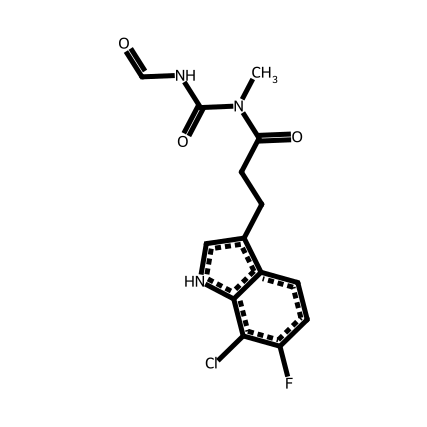 CN(C(=O)CCc1c[nH]c2c(Cl)c(F)ccc12)C(=O)NC=O